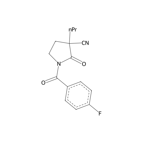 CCCC1(C#N)CCN(C(=O)c2ccc(F)cc2)C1=O